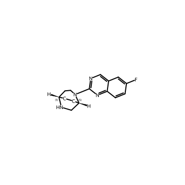 Fc1ccc2nc(N3CC[C@@H]4CC[C@H]3CN4)ncc2c1